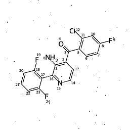 Nc1c(C(=O)c2ccc(F)cc2Cl)ccnc1-c1c(F)cccc1F